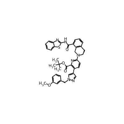 COc1cccc(Cn2cc(-c3ccc(N4CCc5cccc(C(=O)Nc6nc7ccccc7s6)c5C4)nc3C(=O)OC(C)(C)C)cn2)c1